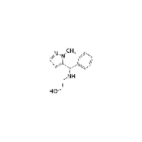 Cn1nccc1C(NCCO)c1ccccc1